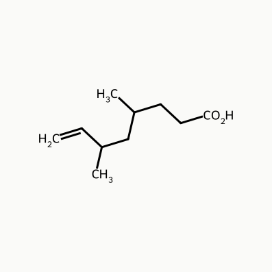 C=CC(C)CC(C)CCC(=O)O